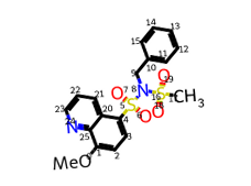 COc1ccc(S(=O)(=O)N(Cc2ccccc2)S(C)(=O)=O)c2cccnc12